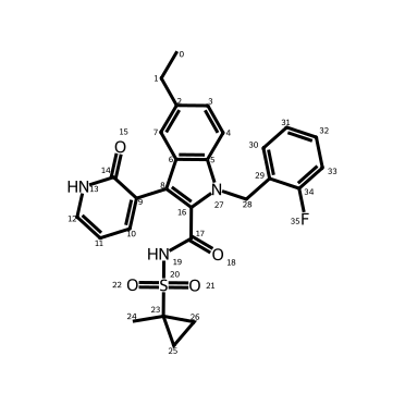 CCc1ccc2c(c1)c(-c1ccc[nH]c1=O)c(C(=O)NS(=O)(=O)C1(C)CC1)n2Cc1ccccc1F